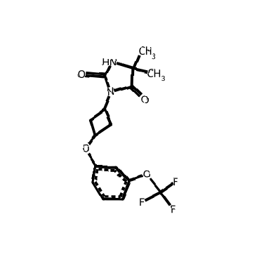 CC1(C)NC(=O)N(C2CC(Oc3cccc(OC(F)(F)F)c3)C2)C1=O